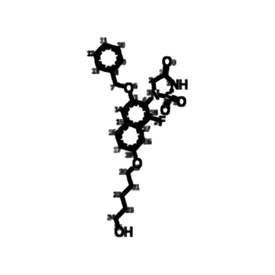 O=C1CN(c2c(OCc3ccccc3)cc3ccc(OCCCCCO)cc3c2F)S(=O)(=O)N1